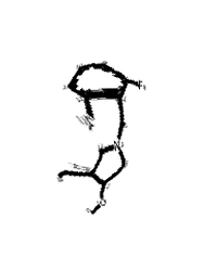 COC1CN(Cc2c(F)cccc2F)CC1C